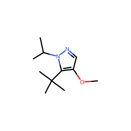 COc1cnn(C(C)C)c1C(C)(C)C